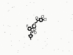 Cc1ccc(C[N+]2(C)C(=O)OC3(CCN(CCC(C=O)c4ccc(Cl)c(Cl)c4)CC3)c3cc(F)ccc32)cc1